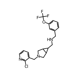 FC(F)(F)Oc1cccc(CNCC2C3CN(Cc4cccnc4Cl)CC23)c1